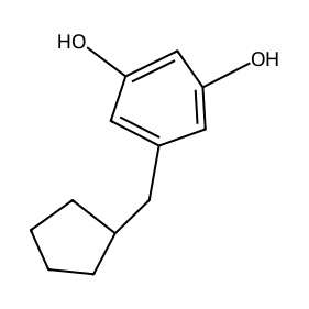 Oc1cc(O)cc(CC2CCCC2)c1